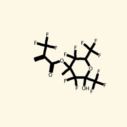 C=C(C(=O)OC1(C)C(F)(F)C(C(F)(F)F)OC(O)(C(F)(F)F)C1(F)F)C(F)(F)F